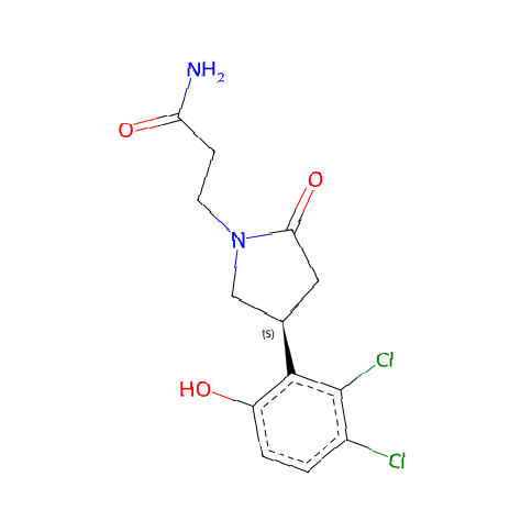 NC(=O)CCN1C[C@H](c2c(O)ccc(Cl)c2Cl)CC1=O